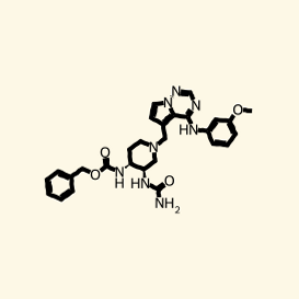 COc1cccc(Nc2ncnn3ccc(CN4CC[C@@H](NC(=O)OCc5ccccc5)[C@H](NC(N)=O)C4)c23)c1